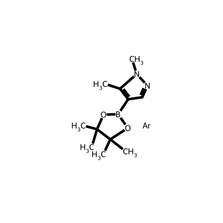 Cc1c(B2OC(C)(C)C(C)(C)O2)cnn1C.[Ar]